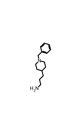 NCCCC1CCN(Cc2ccccc2)CC1